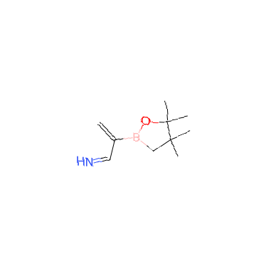 C=C(C=N)B1CC(C)(C)C(C)(C)O1